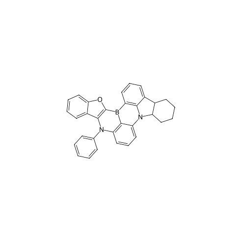 c1ccc(N2c3cccc4c3B(c3cccc5c3N4C3CCCCC53)c3oc4ccccc4c32)cc1